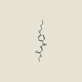 CCCCOc1ccc(N/N=C/C(=O)OCC)cc1